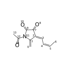 C=C1/C(=C\C=C/C)C(=O)C(=O)N1C(C)=O